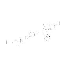 CSC(=S)N1CCN(c2ccc(OC[C@@H]3CO[C@@](Cn4ccnc4)(c4ccc(Cl)cc4Cl)O3)cc2)CC1